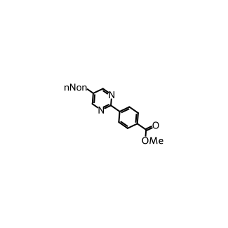 CCCCCCCCCc1cnc(-c2ccc(C(=O)OC)cc2)nc1